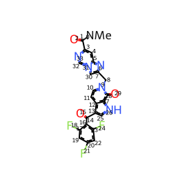 CNC(=O)c1cc2nc(Cn3ccc4c(C(=O)c5c(F)cc(F)cc5F)c[nH]c4c3=O)cn2cn1